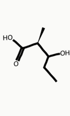 CCC(O)[C@H](C)C(=O)O